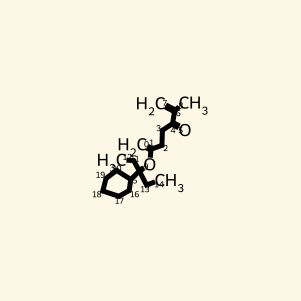 C=C(CCC(=O)C(=C)C)OC(CC)(CC)C1CCCCC1